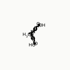 CCC(N=Nc1cc[n+](CCC(=O)O)cc1)=NN=c1ccn(CCC(=O)O)cc1